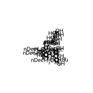 C=C(C=C(c1cc(C(C)(C)C)c(O)cc1C)c1cc(C(C)(C)C)c(O)cc1C)c1cc(C(C)(C(CCCCCCCCCCCCC)(CCCCCCCCCCCCC)CCCCCCCCCCCCC)C(CCCCCCCCCCCCC)(CCCCCCCCCCCCC)CCCCCCCCCCCCC)c(O)cc1C.OP(O)O.OP(O)O.OP(O)O